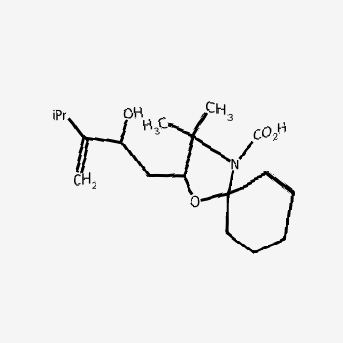 C=C(C(C)C)C(O)CC1OC2(CCCCC2)N(C(=O)O)C1(C)C